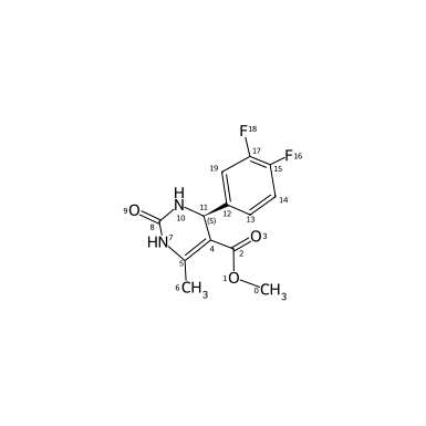 COC(=O)C1=C(C)NC(=O)N[C@H]1c1ccc(F)c(F)c1